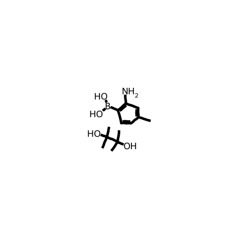 CC(C)(O)C(C)(C)O.Cc1ccc(B(O)O)c(N)c1